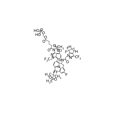 CC(C)(C#Cc1ccc(-c2ccc(Cl)c3c(N(C(=O)CCCC(=O)OCOP(=O)(O)O)S(C)(=O)=O)nn(CC(F)(F)F)c23)c([C@H](Cc2cc(F)cc(F)c2)NC(=O)Cn2nc(C(F)(F)F)c3c2C(F)(F)[C@@H]2C[C@H]32)n1)S(C)(=O)=O